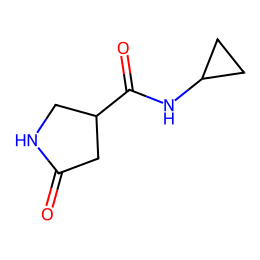 O=C1CC(C(=O)NC2CC2)CN1